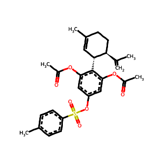 C=C(C)[C@@H]1CCC(C)=C[C@H]1c1c(OC(C)=O)cc(OS(=O)(=O)c2ccc(C)cc2)cc1OC(C)=O